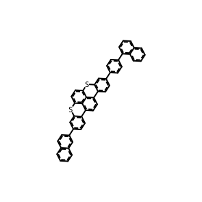 c1ccc2cc(-c3ccc4c(c3)Sc3ccc5c6c(ccc-4c36)-c3ccc(-c4ccc(-c6cccc7ccccc67)cc4)cc3S5)ccc2c1